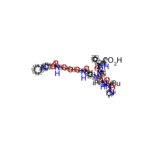 CC[C@@H](C)[C@H](NC(=O)[C@H]1CCCCN1C)C(=O)N(C)[C@H](CC(O/N=C/c1ccc(C(=O)NCCOCCOCCOCCNC(=O)OCC2CCN(C3CCCCCCCC3)CC2)cc1)c1nc(C(=O)N[C@@H](Cc2ccccc2)C[C@H](C)C(=O)O)cs1)C(C)C